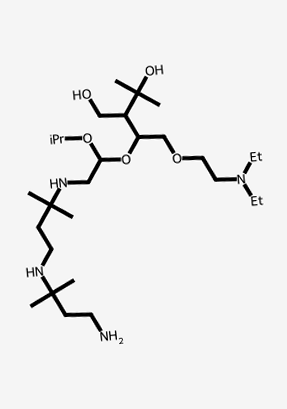 CCN(CC)CCOCC(OC(CNC(C)(C)CCNC(C)(C)CCN)OC(C)C)C(CO)C(C)(C)O